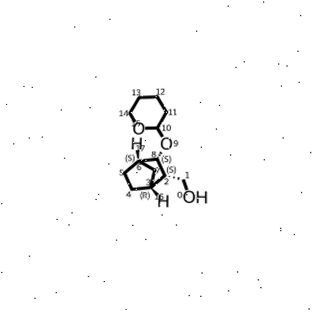 OC[C@@H]1[C@@H]2CC[C@@H](C2)[C@@H]1OC1CCCCO1